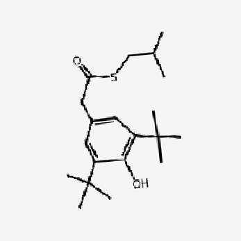 CC(C)CSC(=O)Cc1cc(C(C)(C)C)c(O)c(C(C)(C)C)c1